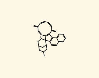 C=c1ccccc(=C)c2c(cc1)C1(c3ccc4ccccc4c3-2)C(C)CC2CC(C)CC1C2